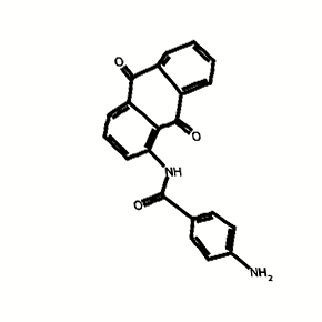 Nc1ccc(C(=O)Nc2cccc3c2C(=O)c2ccccc2C3=O)cc1